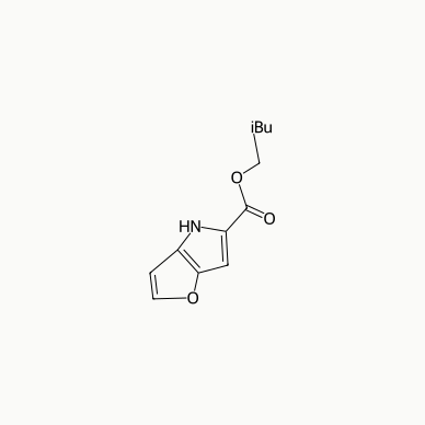 CCC(C)COC(=O)c1cc2occc2[nH]1